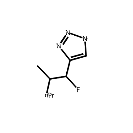 CCCC(C)C(F)C1=C[N]N=N1